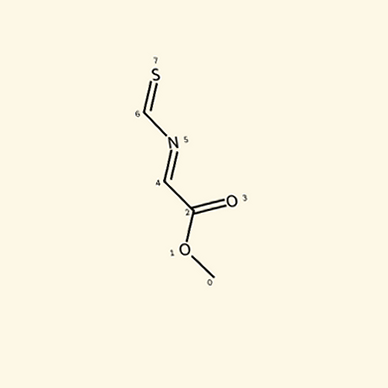 COC(=O)C=NC=S